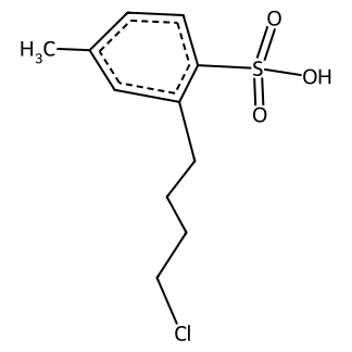 Cc1ccc(S(=O)(=O)O)c(CCCCCl)c1